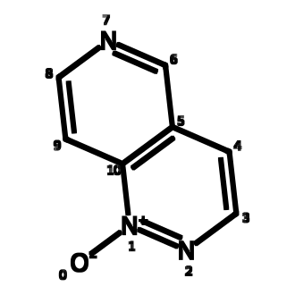 [O-][n+]1nccc2cnccc21